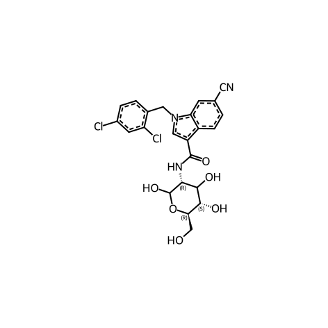 N#Cc1ccc2c(C(=O)N[C@H]3C(O)O[C@H](CO)[C@@H](O)C3O)cn(Cc3ccc(Cl)cc3Cl)c2c1